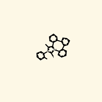 Cc1ccccc1-n1c(C)c2[n+](c1I)-c1ccccc1-c1ccccc1-c1ccccc1-2